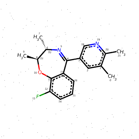 Cc1cc(C2=N[C@@H](C)[C@H](C)Oc3c(F)cccc32)cnc1C